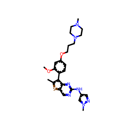 COc1cc(OCCCN2CCN(C)CC2)ccc1-c1c(C)sc2cnc(Nc3cnn(C)c3)nc12